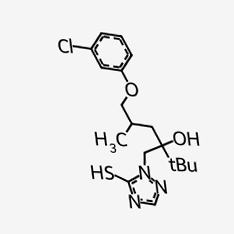 CC(COc1cccc(Cl)c1)CC(O)(Cn1ncnc1S)C(C)(C)C